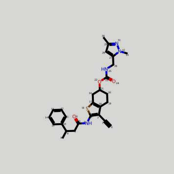 C#Cc1c(NC(=O)CC(C)c2ccccc2)sc2c1CCC(OC(=O)NCc1cc(C)nn1C)C2